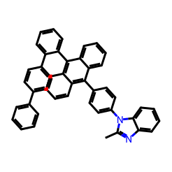 Cc1nc2ccccc2n1-c1ccc(-c2c3ccccc3c(-c3ccccc3-c3ccc(-c4ccccc4)cc3)c3ccccc23)cc1